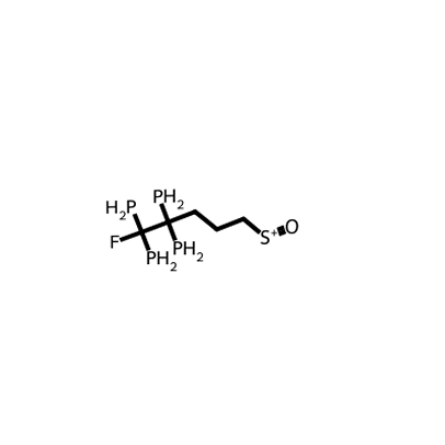 O=[S+]CCCC(P)(P)C(F)(P)P